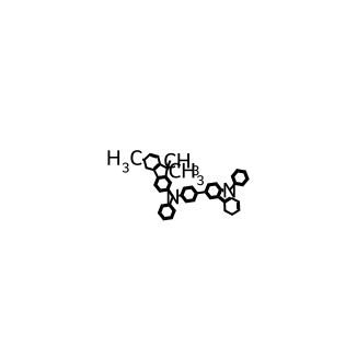 CC1C=CC2=C(C1)c1ccc(N(c3ccccc3)c3ccc(-c4ccc5c(c4)c4c(n5-c5ccccc5)C=CCC4)cc3)cc1C2(C)C